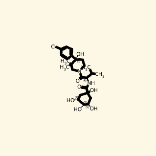 CC(C)[C@@H](NC(=O)C1(O)C[C@@H](O)[C@@H](O)[C@@H](O)C1)C(=O)N1CC[C@](O)(c2ccc(Cl)cc2)C(C)(C)C1